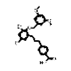 COc1cc(COc2c(Br)cc(Cl)cc2CCCc2ccc(C(=O)O)cc2)cc(OC)c1